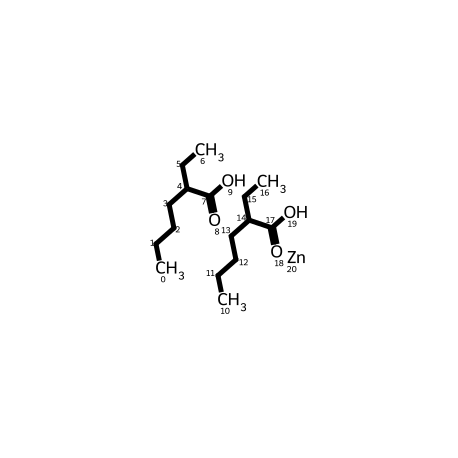 CCCCC(CC)C(=O)O.CCCCC(CC)C(=O)O.[Zn]